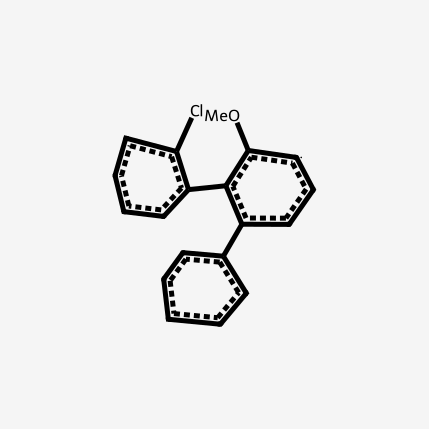 COc1[c]ccc(-c2ccccc2)c1-c1ccccc1Cl